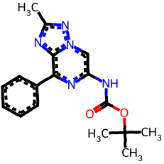 Cc1nc2c(-c3ccccc3)nc(NC(=O)OC(C)(C)C)cn2n1